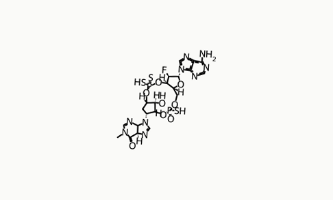 CN1C=NC2[C@@H](N=CN2[C@@H]2C[C@@H]3OP(=S)(S)O[C@H]4[C@@H](F)[C@H](n5cnc6c(N)ncnc65)O[C@@H]4COP(=O)(S)O[C@@H]2[C@@H]3O)C1=O